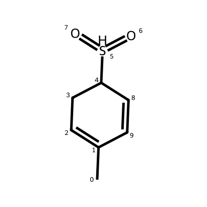 CC1=CCC([SH](=O)=O)C=C1